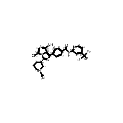 N#CN1CCC[C@@H](c2nc(-c3ccc(C(=O)Nc4cc(C(F)(F)F)ccn4)cc3)c3c(N)ncc(Cl)n23)C1